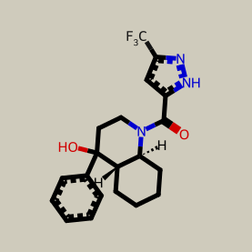 O=C(c1cc(C(F)(F)F)n[nH]1)N1CCC(O)(c2ccccc2)[C@H]2CCCC[C@@H]21